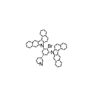 Brc1c(-n2c3cc4ccccc4cc3c3c4ccccc4ccc32)cc(-c2cccnc2)cc1-n1c2cc3ccccc3cc2c2c3ccccc3ccc21